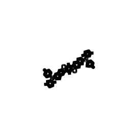 Cc1ccc(N(c2ccc3cc4c(cc3c2)oc2c(C)c3c(oc5cc6cc(N(c7ccc(C)cc7)c7cc(C)ccc7C)ccc6cc53)c(C)c24)c2cc(C)ccc2C)cc1